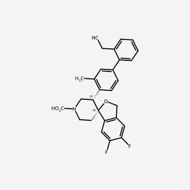 Cc1cc(-c2ccccc2CC#N)ccc1[C@H]1CN(C(=O)O)CC[C@@]12OCc1cc(F)c(F)cc12